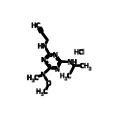 C#CCNc1nc(NC(C)C)nc(N(C)OC)n1.Cl